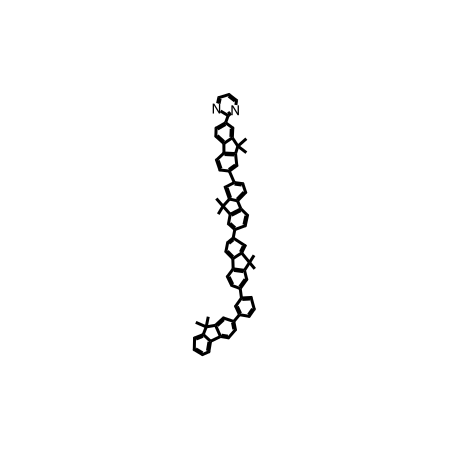 CC1(C)c2ccccc2-c2ccc(-c3cccc(-c4ccc5c(c4)C(C)(C)c4cc(-c6ccc7c(c6)C(C)(C)c6cc(-c8ccc9c(c8)C(C)(C)c8cc(-c%10ncccn%10)ccc8-9)ccc6-7)ccc4-5)c3)cc21